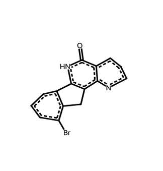 O=c1[nH]c2c(c3ncccc13)Cc1c(Br)cccc1-2